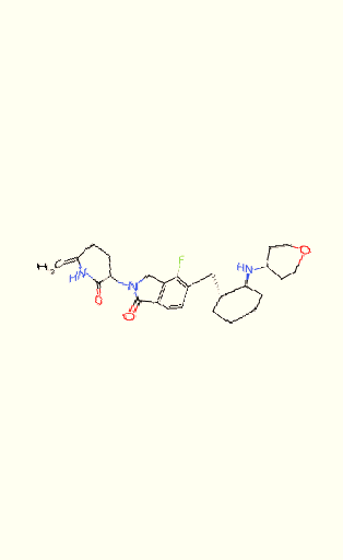 C=C1CCC(N2Cc3c(ccc(C[C@H]4CCCC[C@@H]4NC4CCOCC4)c3F)C2=O)C(=O)N1